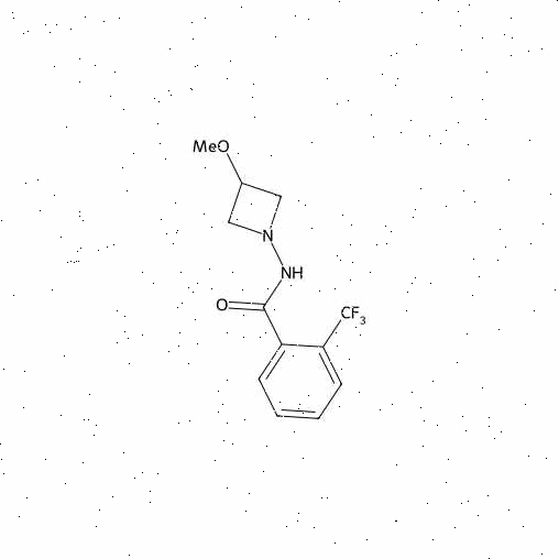 COC1CN(NC(=O)c2ccccc2C(F)(F)F)C1